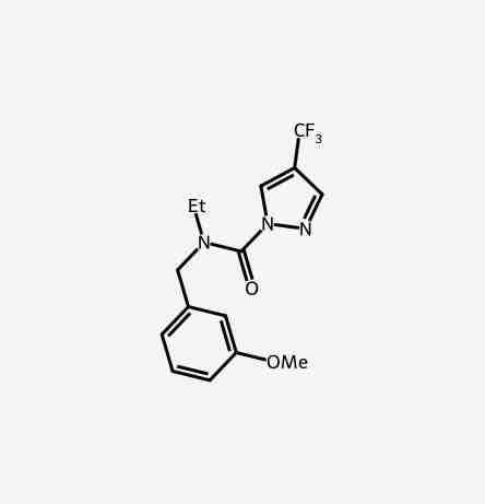 CCN(Cc1cccc(OC)c1)C(=O)n1cc(C(F)(F)F)cn1